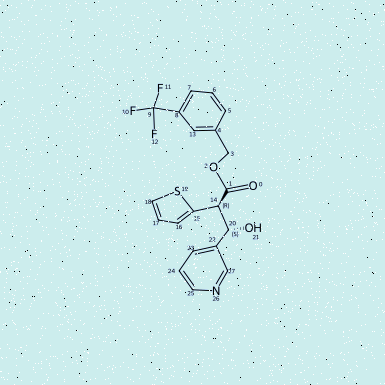 O=C(OCc1cccc(C(F)(F)F)c1)[C@H](c1cccs1)[C@H](O)c1cccnc1